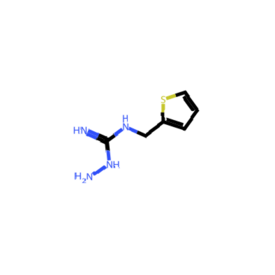 N=C(NN)NCc1cccs1